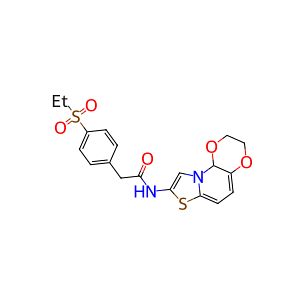 CCS(=O)(=O)c1ccc(CC(=O)NC2=CN3C(=CC=C4OCCOC43)S2)cc1